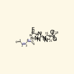 C=C/C=C\C=C(/C)[C@@H]1C[C@H](F)c2nc(-n3cc(S(C)(=O)=O)cn3)nn21